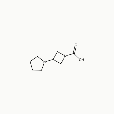 O=C(O)N1CC(N2CCCC2)C1